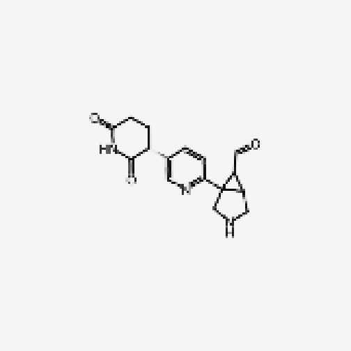 O=CC1C2CNCC12c1ccc([C@H]2CCC(=O)NC2=O)cn1